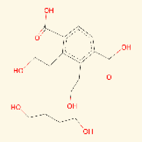 O=C(O)c1ccc(C(=O)O)c(CCO)c1CCO.OCCCCO